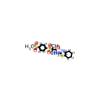 CC(C)(C(=O)Nc1nc2c(s1)CCCC2)S(=O)(=O)c1ccc(S(C)(=O)=O)cc1